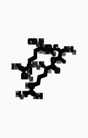 C[C@@H](OC(=O)[C@@H](N)CCCNC(=N)N)[C@H](N)C(=O)O.N=C(N)NCCC[C@H](N)C(=O)O